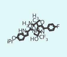 CC(C)Oc1ccc2cc(C(=O)NC[C@](O)(c3cc4c(c(-c5ccc(F)cc5)n3)OC[C@]4(C)C(N)=O)C(F)(F)F)[nH]c2c1